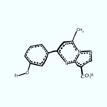 CCOc1cccc(-c2cc(C)n3ncc(C(=O)O)c3n2)c1